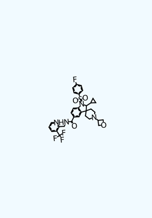 O=C(NCc1ncccc1C(F)(F)F)c1ccc2c(c1)C1(CCN(C3COC3)CC1)C(C1CC1)N2S(=O)(=O)c1ccc(F)cc1